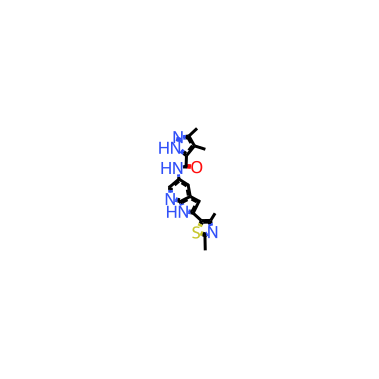 Cc1nc(C)c(-c2cc3cc(NC(=O)c4[nH]nc(C)c4C)cnc3[nH]2)s1